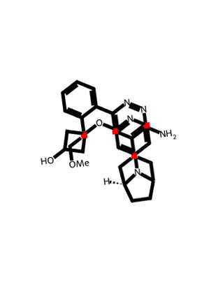 COCOc1ccccc1-c1cc(N2CC3CC[C@@H](C2)N3c2ccnc(OC3CC(O)C3)c2)c(N)nn1